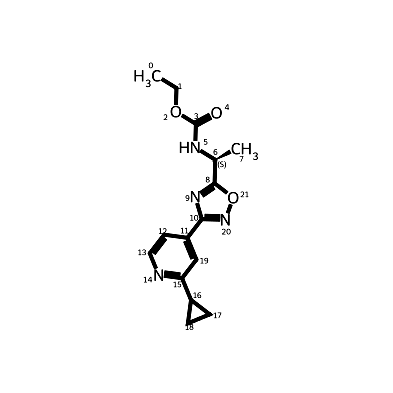 CCOC(=O)N[C@@H](C)c1nc(-c2ccnc(C3CC3)c2)no1